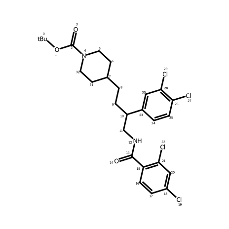 CC(C)(C)OC(=O)N1CCC(CCC(CNC(=O)c2ccc(Cl)cc2Cl)c2ccc(Cl)c(Cl)c2)CC1